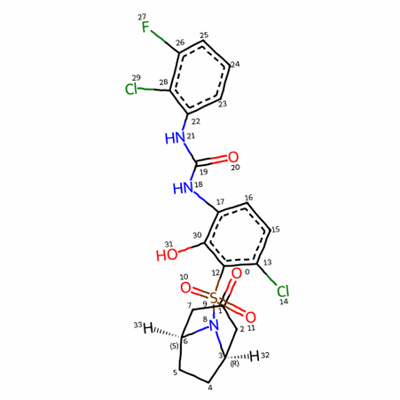 O=C1C[C@H]2CC[C@@H](C1)N2S(=O)(=O)c1c(Cl)ccc(NC(=O)Nc2cccc(F)c2Cl)c1O